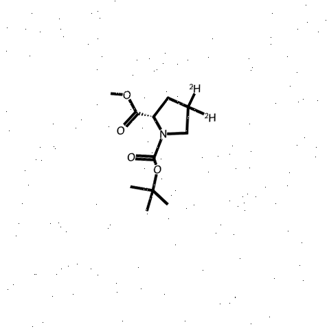 [2H]C1([2H])C[C@@H](C(=O)OC)N(C(=O)OC(C)(C)C)C1